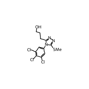 CSc1nnc(CCCO)n1-c1cc(Cl)c(Cl)c(Cl)c1